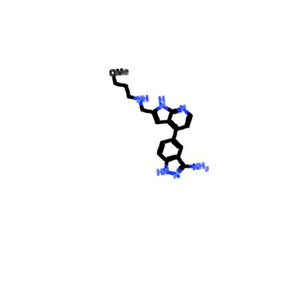 COCCCNCc1cc2c(-c3ccc4[nH]nc(N)c4c3)ccnc2[nH]1